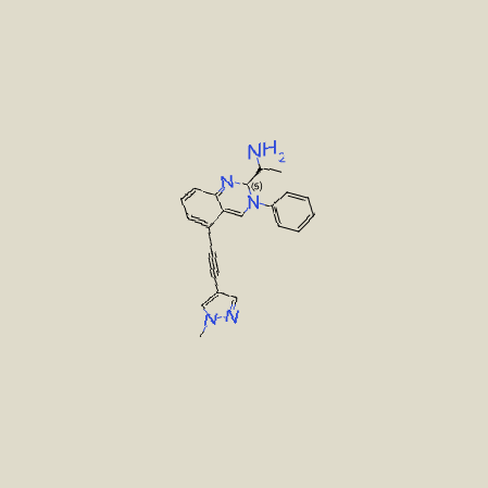 CC(N)[C@@H]1N=c2cccc(C#Cc3cnn(C)c3)c2=CN1c1ccccc1